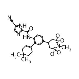 CN1S(=O)(=O)CC(c2ccc(NC(=O)c3ncc(C#N)[nH]3)c(C3=CCC(C)(C)CC3)c2)CS1(=O)=O